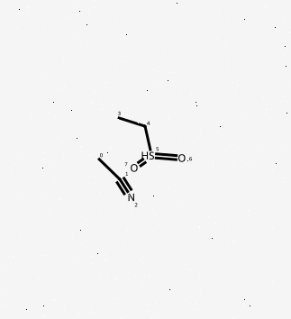 CC#N.CC[SH](=O)=O